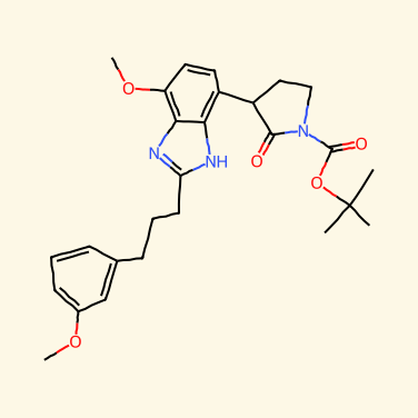 COc1cccc(CCCc2nc3c(OC)ccc(C4CCN(C(=O)OC(C)(C)C)C4=O)c3[nH]2)c1